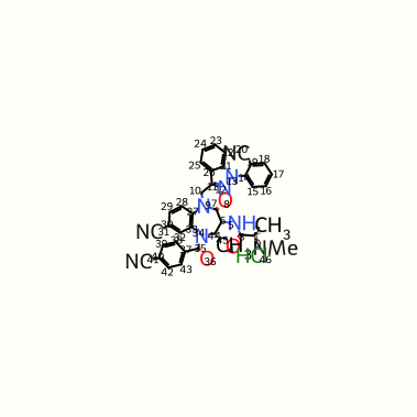 CN[C@@H](C)C(=O)N[C@@H]1C(=O)N(Cc2nn(-c3ccccc3C#N)c3ccccc23)c2ccc(C#N)cc2N(C(=O)c2ccc(C#N)cc2)[C@H]1C.Cl